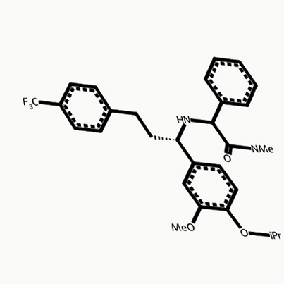 CNC(=O)C(N[C@@H](CCc1ccc(C(F)(F)F)cc1)c1ccc(OC(C)C)c(OC)c1)c1ccccc1